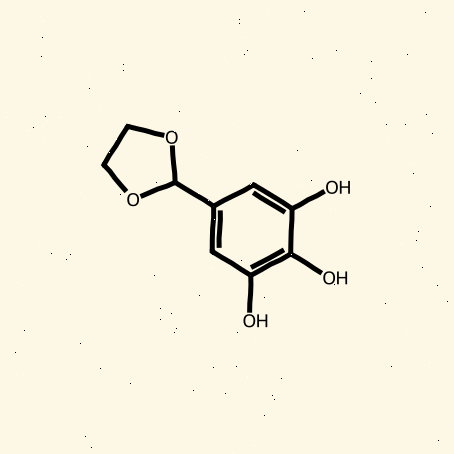 Oc1cc(C2OCCO2)cc(O)c1O